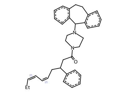 CC/C=C\C=C/CC(CC(=O)N1CCN(C2c3ccccc3CCc3ccccc32)CC1)c1ccccc1